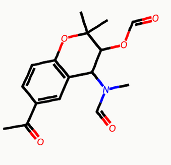 CC(=O)c1ccc2c(c1)C(N(C)C=O)C(OC=O)C(C)(C)O2